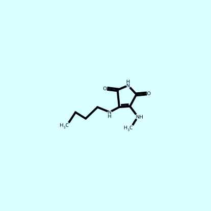 CCCCNC1=C(NC)C(=O)NC1=O